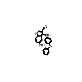 N#Cc1cnc2ccc(N)cc2c1Nc1ccc(Oc2ccccc2)cc1